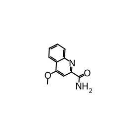 COc1cc(C(N)=O)nc2ccccc12